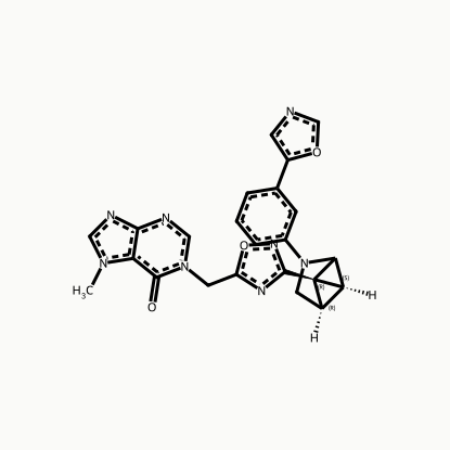 Cn1cnc2ncn(Cc3nc([C@@]45C6[C@H]4[C@H]5CN6c4cccc(-c5cnco5)c4)no3)c(=O)c21